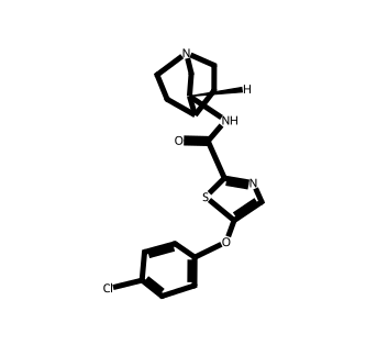 O=C(N[C@H]1CN2CCC1CC2)c1ncc(Oc2ccc(Cl)cc2)s1